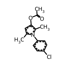 CC(=O)Oc1cc(C)n(-c2ccc(Cl)cc2)c1C